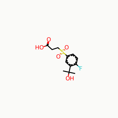 CC(C)(O)c1cc(S(=O)(=O)CCC(=O)O)ccc1F